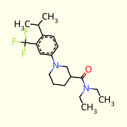 CCN(CC)C(=O)C1CCCN(c2ccc(C(C)C)c(C(F)(F)F)c2)C1